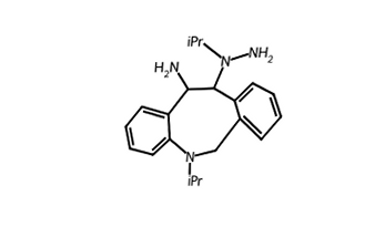 CC(C)N1Cc2ccccc2C(N(N)C(C)C)C(N)c2ccccc21